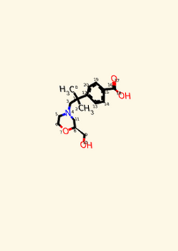 CC(C)(CN1CCO[C@H](CO)C1)c1ccc(C(=O)O)cc1